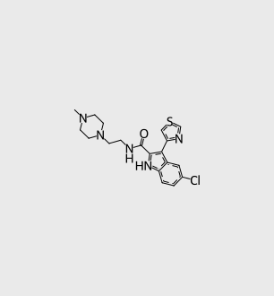 CN1CCN(CCNC(=O)c2[nH]c3ccc(Cl)cc3c2-c2cscn2)CC1